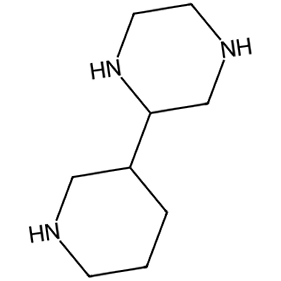 C1CNCC(C2CNCCN2)C1